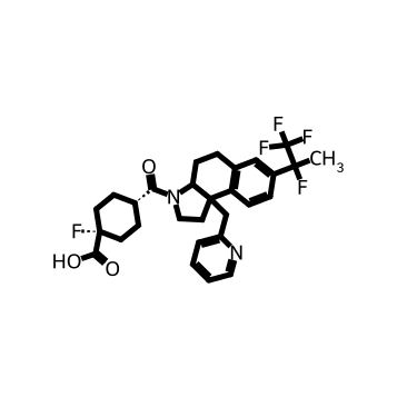 CC(F)(c1ccc2c(c1)CCC1N(C(=O)[C@H]3CC[C@](F)(C(=O)O)CC3)CCC21Cc1ccccn1)C(F)(F)F